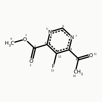 COC(=O)c1ncnc(C(C)=O)c1F